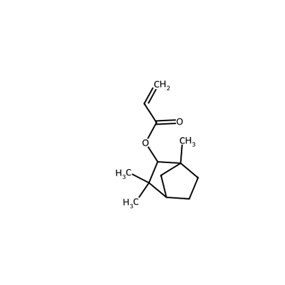 C=CC(=O)OC1C2(C)CCC(C2)C1(C)C